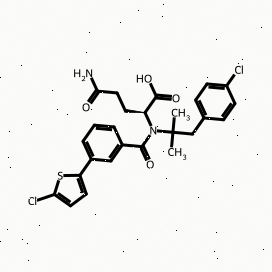 CC(C)(Cc1ccc(Cl)cc1)N(C(=O)c1cccc(-c2ccc(Cl)s2)c1)[C@@H](CCC(N)=O)C(=O)O